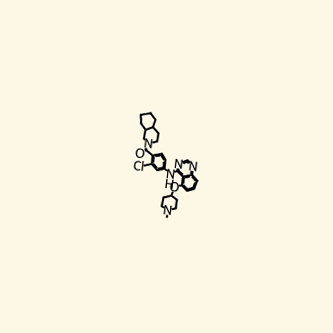 CN1CCC(Oc2cccc3ncnc(Nc4ccc(C(=O)N5CCC6CCCCC6C5)c(Cl)c4)c23)CC1